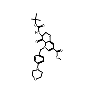 COC(=O)C1=CN(Cc2ccc(N3CCOCC3)cc2)C2C(=O)[C@@H](NC(=O)OC(C)(C)C)CSC2=C1